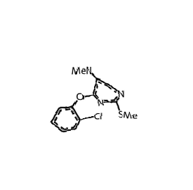 CNc1cnc(SC)nc1Oc1ccccc1Cl